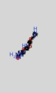 CCn1c(-c2nonc2N)nc2cnc(Oc3cccc(NC(=O)c4ccc(OCCCN5CCNCC5)cc4)c3)cc21